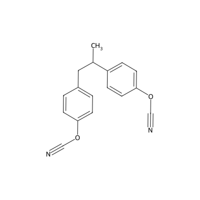 CC(Cc1ccc(OC#N)cc1)c1ccc(OC#N)cc1